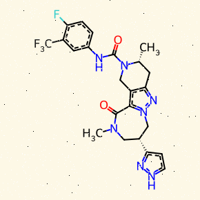 C[C@@H]1Cc2nn3c(c2CN1C(=O)Nc1ccc(F)c(C(F)(F)F)c1)C(=O)N(C)C[C@@H](c1cc[nH]n1)C3